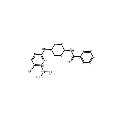 Cc1cnc(NC2CCC(NC(=O)c3ccccc3)CC2)nc1N(C)C